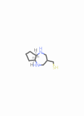 SCC1CN[C@H]2CCC[C@H]2NC1